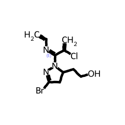 C=C/N=C(\C(=C)Cl)N1N=C(Br)CC1CCO